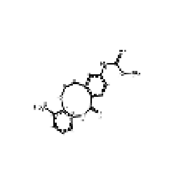 CC(C)(C)OC(=O)Nc1ccc2c(c1)CCOc1c(cccc1C(=O)O)OC2=O